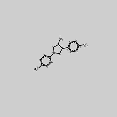 Cc1ccc(N2CC(C)C(c3ccc(C(F)(F)F)cc3)C2)cc1